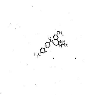 CCc1nc2c([nH]1)-c1cc(C)ccc1N(C(=O)C1CCN(c3ccc(C)cn3)CC1)CC2